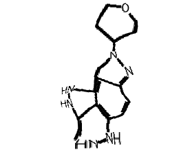 C1=CC2=C3C(=CNN2)NNC3=C2CN(C3CCOCC3)N=C12